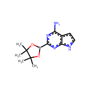 CC1(C)OB(c2nc(N)c3cc[nH]c3n2)OC1(C)C